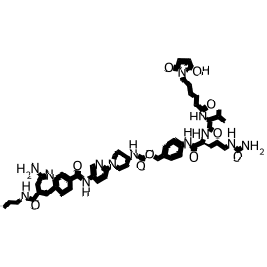 CCCNC(=O)C1=Cc2ccc(C(=O)Nc3ccc(N4CCC(NC(=O)OCc5ccc(NC(=O)[C@H](CCCNC(N)=O)NC(=O)[C@@H](NC(=O)CCCCCN6C(=O)C=CC6O)C(C)C)cc5)CC4)nc3)cc2N=C(N)C1